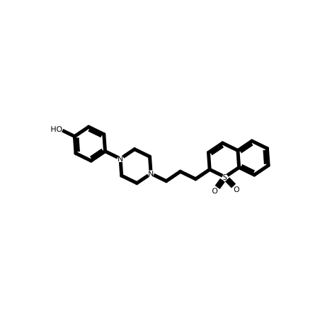 O=S1(=O)c2ccccc2C=CC1CCCN1CCN(c2ccc(O)cc2)CC1